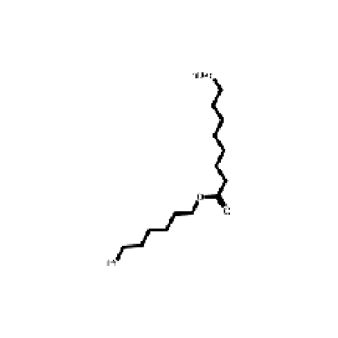 CCCCCCCCCCCCCCCCCC(=O)OCCCCCCC(C)C